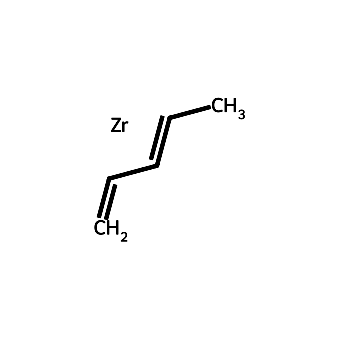 C=CC=CC.[Zr]